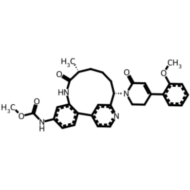 COC(=O)Nc1ccc2c(c1)NC(=O)[C@H](C)CCC[C@H](N1CCC(c3ccccc3OC)=CC1=O)c1cc-2ccn1